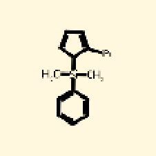 CC(C)C1=CC=C[C]1[Si](C)(C)c1ccccc1